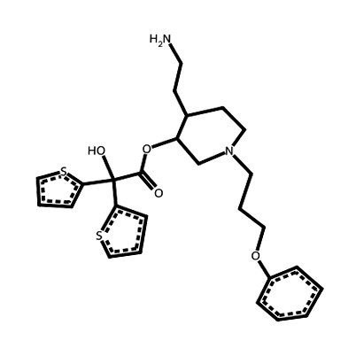 NCCC1CCN(CCCOc2ccccc2)CC1OC(=O)C(O)(c1cccs1)c1cccs1